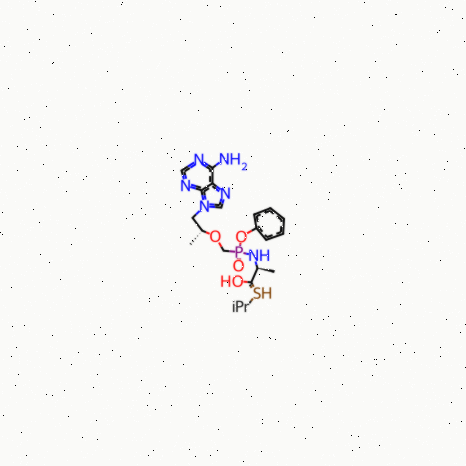 CC(C)[SH]=C(O)[C@H](C)NP(=O)(CO[C@H](C)Cn1cnc2c(N)ncnc21)Oc1ccccc1